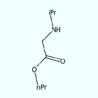 CCCOC(=O)CNC(C)C